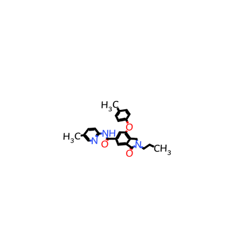 CCCN1Cc2c(Oc3ccc(C)cc3)cc(C(=O)Nc3ccc(C)cn3)cc2C1=O